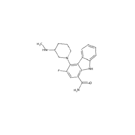 CNC1CCCN(c2c(F)cc(C(N)=O)c3[nH]c4ccccc4c23)C1